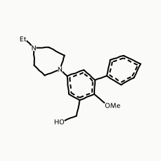 CCN1CCN(c2cc(CO)c(OC)c(-c3ccccc3)c2)CC1